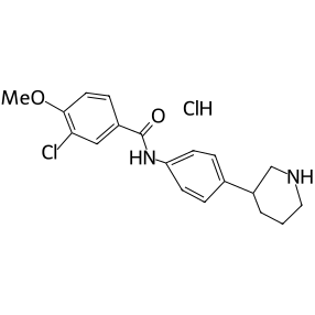 COc1ccc(C(=O)Nc2ccc(C3CCCNC3)cc2)cc1Cl.Cl